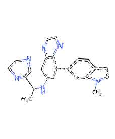 CC(Nc1cc(-c2ccc3ccn(C)c3c2)c2nccnc2c1)c1cnccn1